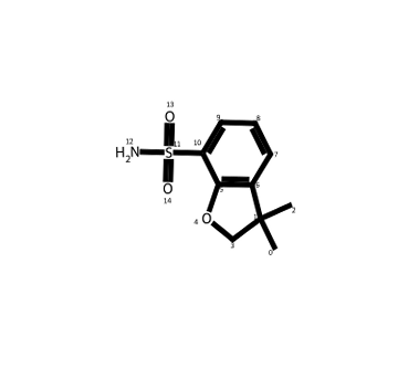 CC1(C)COc2c1cccc2S(N)(=O)=O